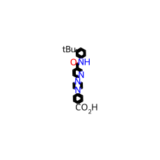 CC(C)(C)C1=CCCC(NC(=O)c2ccc(N3CCN(c4ccc(C(=O)O)cc4)CC3)nc2)=C1